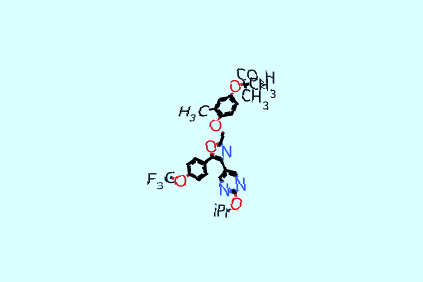 Cc1cc(OC(C)(C)C(=O)O)ccc1OCc1nc(-c2cnc(OC(C)C)nc2)c(-c2ccc(OC(F)(F)F)cc2)o1